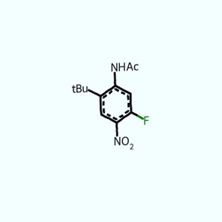 CC(=O)Nc1cc(F)c([N+](=O)[O-])cc1C(C)(C)C